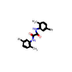 Cc1ccc(C(C)C)cc1NC(=O)C(=O)Nc1cc(C(C)C)ccc1C